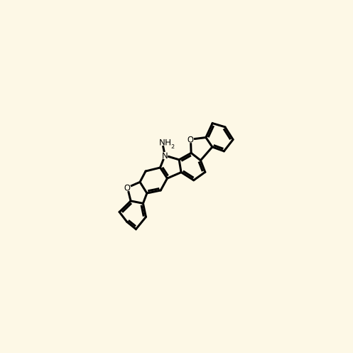 Nn1c2c(c3ccc4c5ccccc5oc4c31)C=C1c3ccccc3OC1C2